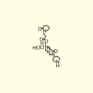 Cl.Cl.O=C(CCN1CCCCC1=O)OCN1C=C2C(=O)N(C3CCNCC3)CN2C1